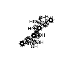 O=S(=O)(O)c1cc(N(c2ncnc(Nc3ccccc3)n2)N(CCO)CCO)ccc1C=Cc1ccc(N(c2ncnc(Nc3ccccc3)n2)N(CCO)CCO)cc1S(=O)(=O)O